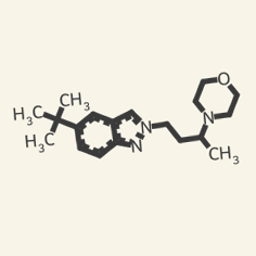 CC(CCn1cc2cc(C(C)(C)C)ccc2n1)N1CCOCC1